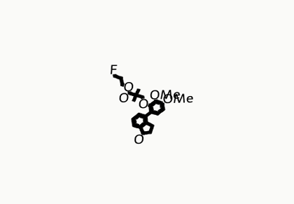 COc1ccc(-c2cccc3c2CCC3=O)c(OCC(C)(C)C(=O)OCCCF)c1OC